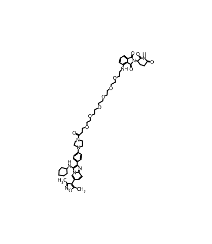 Cc1noc(C)c1-c1ccc2nc(-c3ccc(N4CCN(C(=O)CCOCCOCCOCCOCCOCCOCCNc5cccc6c5C(=O)N(C5CCC(=O)NC5=O)C6=O)CC4)cc3)c(NC3CCCCC3)n2c1